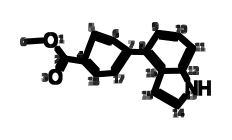 COC(=O)c1ccc(-c2cccc3[nH]ccc23)cc1